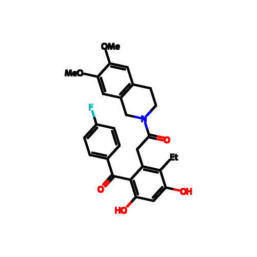 CCc1c(O)cc(O)c(C(=O)c2ccc(F)cc2)c1CC(=O)N1CCc2cc(OC)c(OC)cc2C1